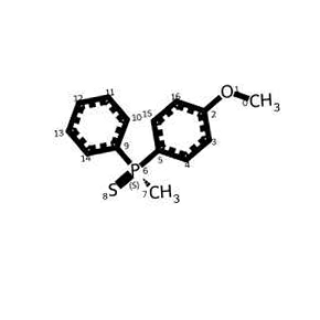 COc1ccc([P@@](C)(=S)c2ccccc2)cc1